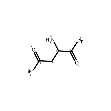 CC(C)C(=O)CC(N)C(=O)C(C)C